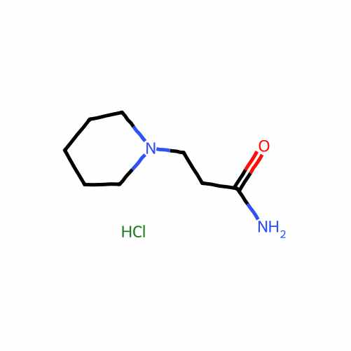 Cl.NC(=O)CCN1CCCCC1